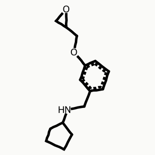 c1cc(CNC2CCCC2)cc(OCC2CO2)c1